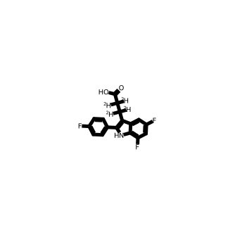 [2H]C([2H])(C(=O)O)C([2H])([2H])c1c(-c2ccc(F)cc2)[nH]c2c(F)cc(F)cc12